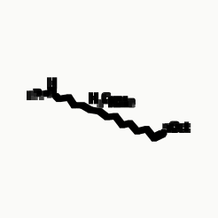 CCCCCCCC/C=C\CCCCCCCCCCCCNCCC.CNC